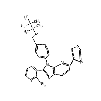 CC(C)(C)[Si](C)(C)OCc1ccc(-n2c(-c3cccnc3N)nc3ccc(-c4cocn4)nc32)cc1